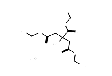 CCOC(=O)CC(O)(CC(=O)OCC)C(=O)OCC.O.O